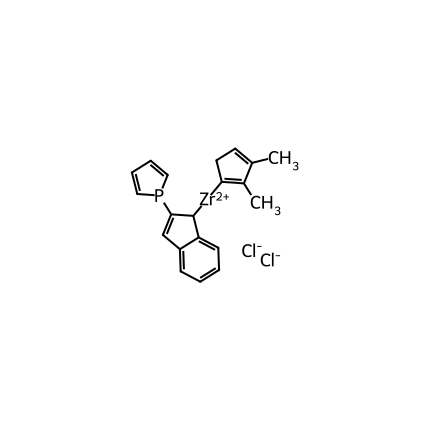 CC1=CC[C]([Zr+2][CH]2C(p3cccc3)=Cc3ccccc32)=C1C.[Cl-].[Cl-]